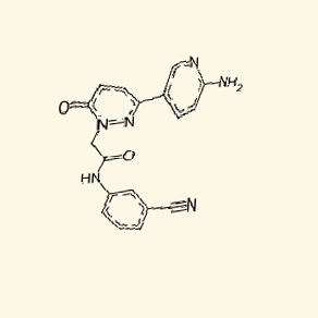 N#Cc1cccc(NC(=O)Cn2nc(-c3ccc(N)nc3)ccc2=O)c1